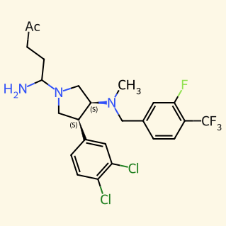 CC(=O)CCC(N)N1C[C@H](c2ccc(Cl)c(Cl)c2)[C@H](N(C)Cc2ccc(C(F)(F)F)c(F)c2)C1